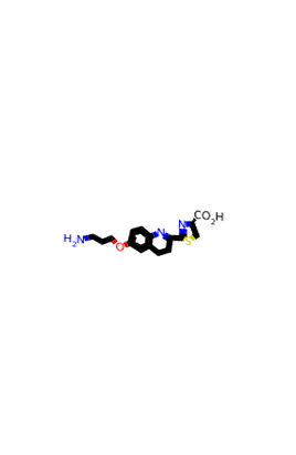 NCCCOc1ccc2c(c1)CCC(C1=N[C@@H](C(=O)O)CS1)=N2